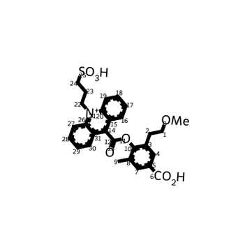 COCCc1cc(C(=O)O)cc(C)c1OC(=O)c1c2ccccc2[n+](CCCS(=O)(=O)O)c2ccccc12